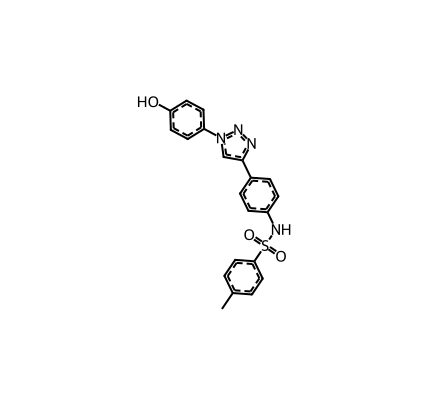 Cc1ccc(S(=O)(=O)Nc2ccc(-c3cn(-c4ccc(O)cc4)nn3)cc2)cc1